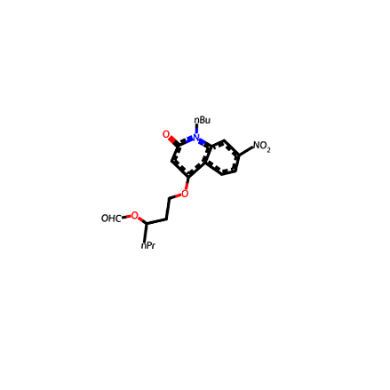 CCCCn1c(=O)cc(OCCC(CCC)OC=O)c2ccc([N+](=O)[O-])cc21